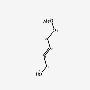 COOC/C=C/CO